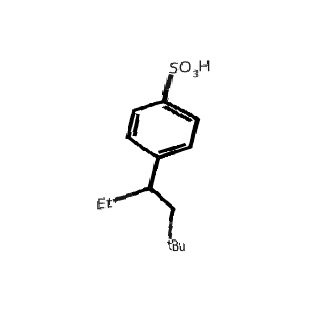 CCC(CC(C)(C)C)c1ccc(S(=O)(=O)O)cc1